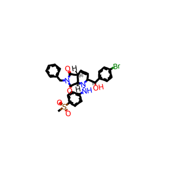 CS(=O)(=O)c1ccc(NN2C([C@H](O)c3ccc(Br)cc3)C=C[C@H]3C(=O)N(Cc4ccccc4)C(=O)[C@H]32)cc1